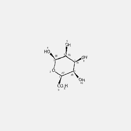 O=C(O)[C@H]1O[C@@H](O)[C@@H](O)[C@@H](O)[C@H]1O